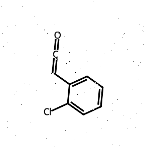 O=C=Cc1ccccc1Cl